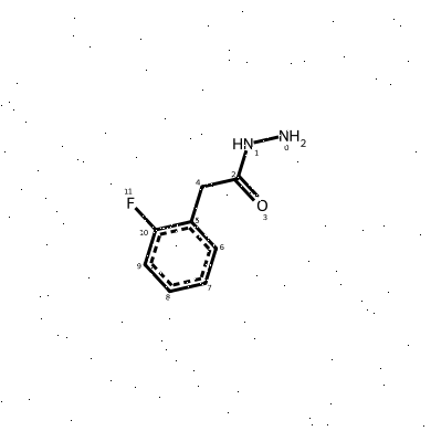 NNC(=O)Cc1ccccc1F